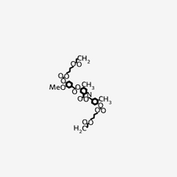 C=CC(=O)OCCCCOC(=O)Oc1ccc(-c2nc3cc(C)c(OC(=O)c4ccc(OC(=O)OCCCCOC(=O)C=C)c(OC)c4)cc3c(=O)o2)cc1C